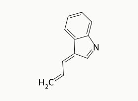 C=CC=C1C=Nc2ccccc21